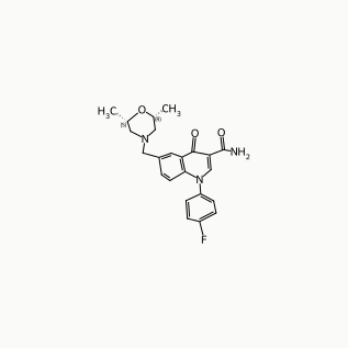 C[C@@H]1CN(Cc2ccc3c(c2)c(=O)c(C(N)=O)cn3-c2ccc(F)cc2)C[C@H](C)O1